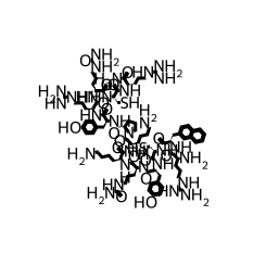 N=C(N)NCCC[C@H](NC(=O)[C@H](CS)NC(=O)[C@H](CCCNC(N)=O)NC(=O)[C@H](CCCNC(=N)N)NC(=O)[C@H](Cc1ccc(O)cc1)NC(=O)[C@@H]1CCCN1C(=O)[C@@H](CCCCN)NC(=O)[C@H](CCCCN)NC(=O)[C@H](CCCNC(N)=O)NC(=O)[C@H](Cc1ccc(O)cc1)NC(=O)[C@H](CS)NC(=O)[C@H](Cc1ccc2ccccc2c1)NC(=O)[C@@H](N)CCCNC(=N)N)C(N)=O